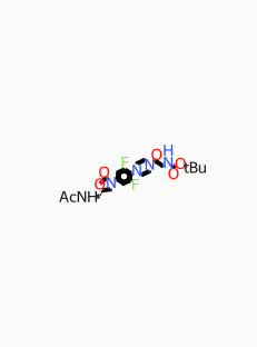 CC(=O)NC[C@H]1CN(c2cc(F)c(N3CCN(C(=O)CNC(=O)OC(C)(C)C)CC3)c(F)c2)C(=O)O1